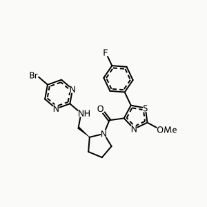 COc1nc(C(=O)N2CCC[C@H]2CNc2ncc(Br)cn2)c(-c2ccc(F)cc2)s1